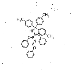 Cc1ccc(C(PN(Oc2ccccc2)P(N=POc2ccccc2)Oc2ccccc2)(c2ccc(C)cc2)c2ccc(C)cc2)cc1